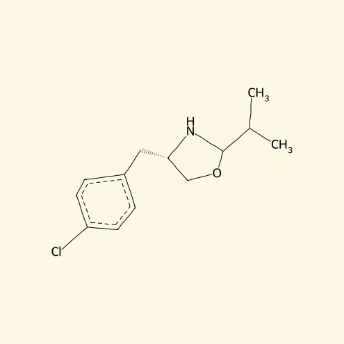 CC(C)C1N[C@@H](Cc2ccc(Cl)cc2)CO1